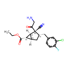 CCOC(=O)[C@H]1[C@@H]2C[C@@H](Cc3ccc(F)c(Cl)c3)[C@@](C#N)(C(=O)CN)[C@@H]21